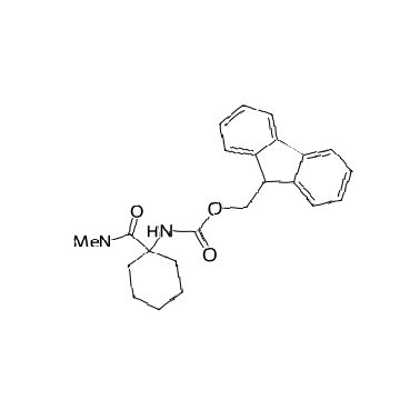 CNC(=O)C1(NC(=O)OCC2c3ccccc3-c3ccccc32)CCCCC1